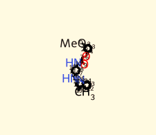 COc1cccc(OCC(=O)NC2CCC(Nc3cc(C)c4ccccc4n3)CC2)c1